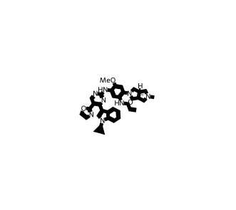 C=CC(=O)Nc1cc(Nc2ncc(-c3ncco3)c(-c3cn(C4CC4)c4ccccc34)n2)c(OC)cc1N1CC2CN(C)C[C@H]2C1